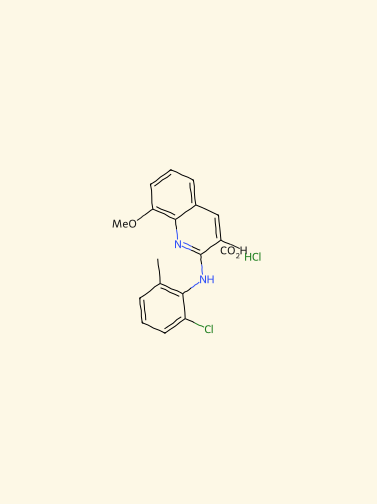 COc1cccc2cc(C(=O)O)c(Nc3c(C)cccc3Cl)nc12.Cl